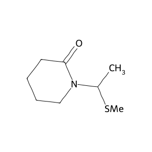 CSC(C)N1CCCCC1=O